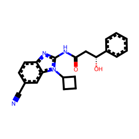 N#Cc1ccc2nc(NC(=O)C[C@@H](O)c3ccccc3)n(C3CCC3)c2c1